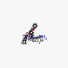 CN(CCc1ccccc1)C(=O)Cn1c(N(C=O)C(CCCCN)C(=O)O)cc2cc(OCc3ccccc3)ccc21